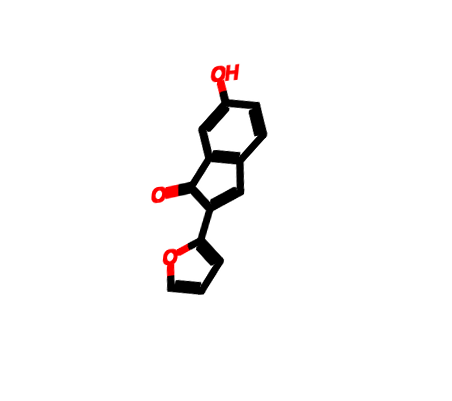 O=C1C(c2ccco2)=Cc2ccc(O)cc21